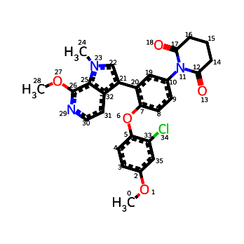 COc1ccc(Oc2ccc(N3C(=O)CCCC3=O)cc2-c2cn(C)c3c(OC)nccc23)c(Cl)c1